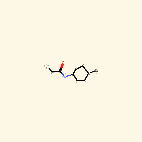 CC[C@H]1CC[C@@H](NC(=O)CC(F)(F)F)CC1